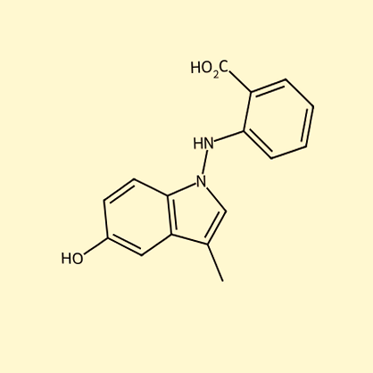 Cc1cn(Nc2ccccc2C(=O)O)c2ccc(O)cc12